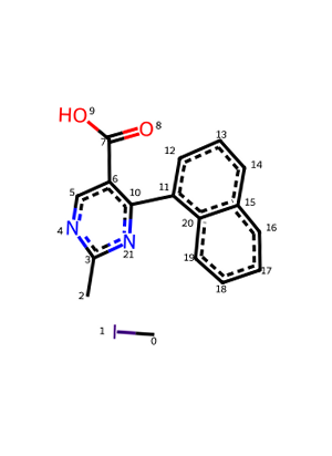 CI.Cc1ncc(C(=O)O)c(-c2cccc3ccccc23)n1